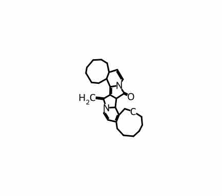 C=C1C2=C3C4CCCCCCCC4C=CN3C(=O)C2C2C3=C(C=CN12)CCCCCCCC3